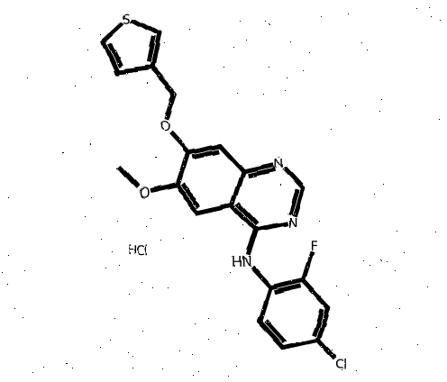 COc1cc2c(Nc3ccc(Cl)cc3F)ncnc2cc1OCc1ccsc1.Cl